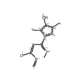 C=N/C(Cl)=C\C(=N/C)n1nc(C)c(O)c1C